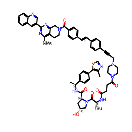 CNc1nc(-c2cnc3ccccc3c2)nc2c1CCN(C(=O)c1ccc(/C=C/c3ccc(C#CCN4CCN(C(=O)CCC(=O)N[C@H](C(=O)N5C[C@H](O)C[C@H]5C(=O)N[C@@H](C)c5ccc(-c6scnc6C)cc5)C(C)(C)C)CC4)cc3)cc1)C2